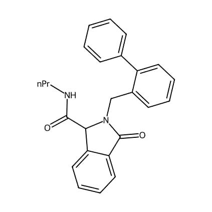 CCCNC(=O)C1c2ccccc2C(=O)N1Cc1ccccc1-c1ccccc1